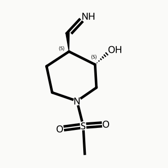 CS(=O)(=O)N1CC[C@@H](C=N)[C@H](O)C1